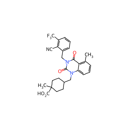 Cc1cccc2c1c(=O)n(Cc1cccc(C(F)(F)F)c1C#N)c(=O)n2CC1CCC(C)(C(=O)O)CC1